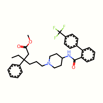 CCC(CCCN1CCC(NC(=O)c2ccccc2-c2ccc(C(F)(F)F)cc2)CC1)(CC(=O)OC)c1ccccc1